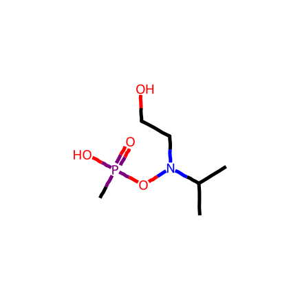 CC(C)N(CCO)OP(C)(=O)O